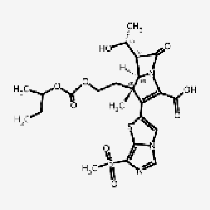 CCC(C)OC(=O)OCC[C@@]1(C)C(c2cn3cnc(S(C)(=O)=O)c3s2)=C(C(=O)O)N2C(=O)[C@H]([C@@H](C)O)[C@@H]21